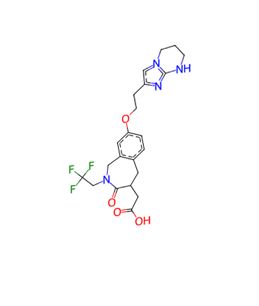 O=C(O)CC1Cc2ccc(OCCc3cn4c(n3)NCCC4)cc2CN(CC(F)(F)F)C1=O